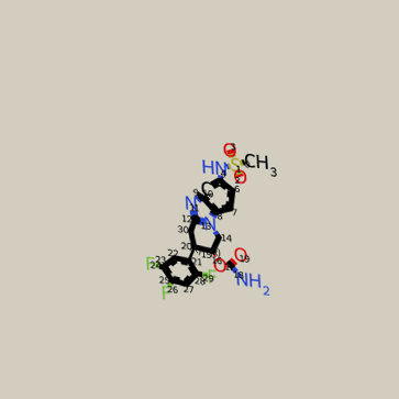 CS(=O)(=O)Nc1ccc2c(c1)nc1n2C[C@H](OC(N)=O)[C@@H](c2cc(F)c(F)cc2F)C1